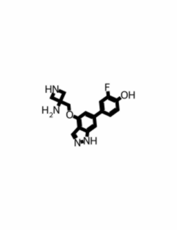 NC1(COc2cc(-c3ccc(O)c(F)c3)cc3[nH]ncc23)CNC1